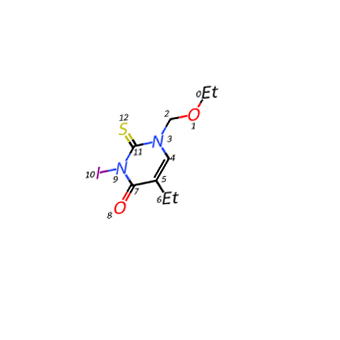 CCOCn1cc(CC)c(=O)n(I)c1=S